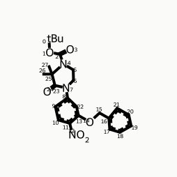 CC(C)(C)OC(=O)N1CCN(c2ccc([N+](=O)[O-])c(OCc3ccccc3)c2)C(=O)C1(C)C